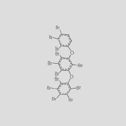 Brc1ccc(Oc2c(Br)c(Br)c(Br)c(Oc3c(Br)c(Br)c(Br)c(Br)c3Br)c2Br)c(Br)c1Br